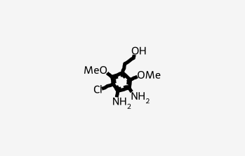 COc1c(N)c(N)c(Cl)c(OC)c1CCO